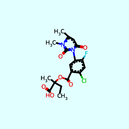 CCC(C)(OC(=O)c1cc(-n2c(=O)cc(C)n(C)c2=O)c(F)cc1Cl)C(=O)O